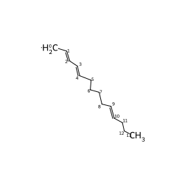 [CH2]/C=C/C=C/CCCC/C=C/CCC